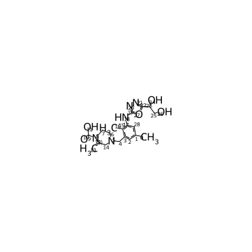 Cc1cc(CN2CCN(C(=O)O)[C@@H](C)C2)c(C)c(Nc2nnc(C(O)CO)o2)c1